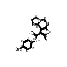 Cc1oc2c(c1C(=O)Nc1ccc(Br)cc1)C1=NCCN1C=N2